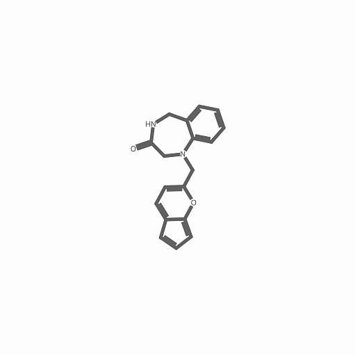 O=C1CN(Cc2ccc3cccc-3o2)c2ccccc2CN1